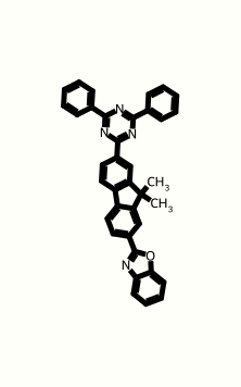 CC1(C)c2cc(-c3nc(-c4ccccc4)nc(-c4ccccc4)n3)ccc2-c2ccc(-c3nc4ccccc4o3)cc21